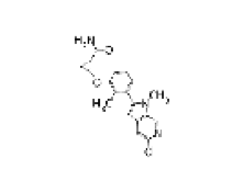 Cc1c(OC2CC2C(N)=O)cccc1-c1cc2cc(Cl)ncc2n1C